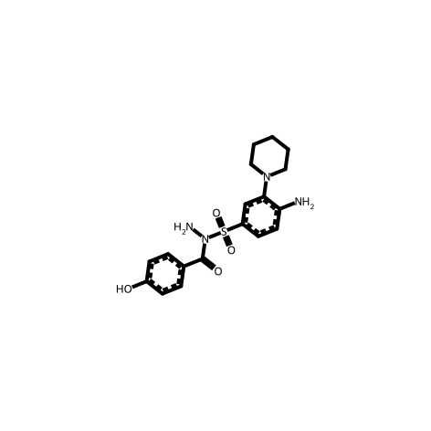 Nc1ccc(S(=O)(=O)N(N)C(=O)c2ccc(O)cc2)cc1N1CCCCC1